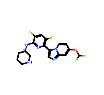 Fc1cc(F)c(-c2cnc3cc(OC(F)F)ccn23)nc1N[C@@H]1CCCNC1